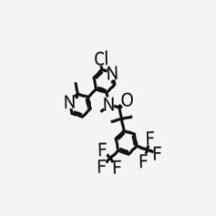 Cc1ncccc1-c1cc(Cl)ncc1N(C)C(=O)C(C)(C)c1cc(C(F)(F)F)cc(C(F)(F)F)c1